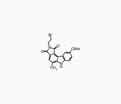 COc1ccc2[nH]c3c(C)cc4c(c3c2c1)C(=O)N(CCBr)C4=O